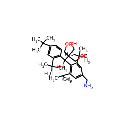 CC(C)(C)c1ccc(C(O)(c2c(C(C)(C)C)cc(CN)cc2C(C)(C)C)C(CO)(CO)CO)c(C(C)(C)C)c1